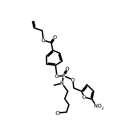 C=CCOC(=O)c1ccc(OP(=O)(OCc2ccc([N+](=O)[O-])o2)N(C)CCCCCl)cc1